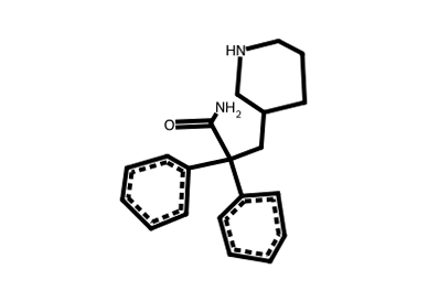 NC(=O)C(CC1CCCNC1)(c1ccccc1)c1ccccc1